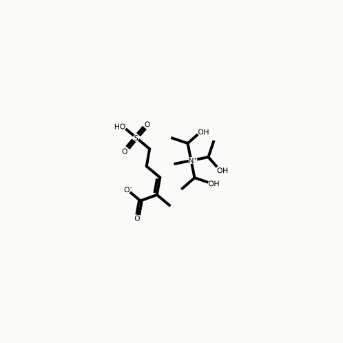 CC(=CCCS(=O)(=O)O)C(=O)[O-].CC(O)[N+](C)(C(C)O)C(C)O